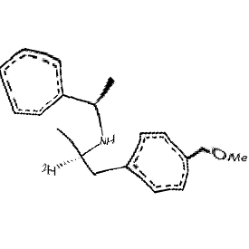 [2H][C@@](C)(Cc1ccc(OC)cc1)N[C@H](C)c1ccccc1